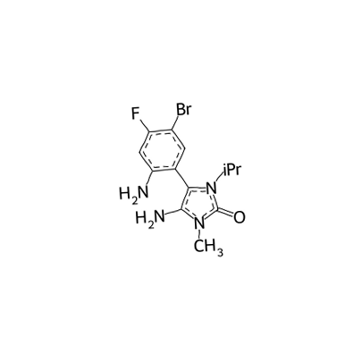 CC(C)n1c(-c2cc(Br)c(F)cc2N)c(N)n(C)c1=O